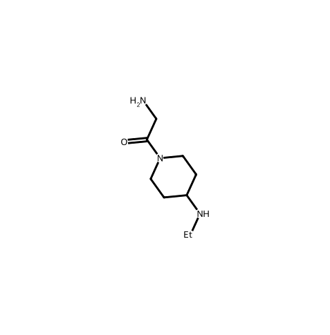 CCNC1CCN(C(=O)CN)CC1